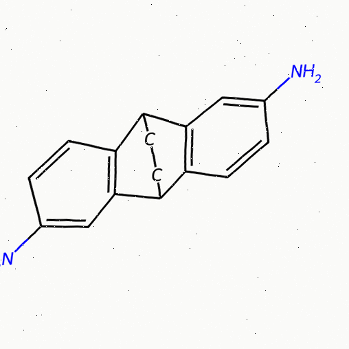 Nc1ccc2c(c1)C1CCC2c2cc(N)ccc21